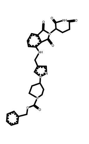 O=C1CCC(N2C(=O)c3cccc(NCc4cnn(C5CCN(C(=O)OCc6ccccc6)CC5)c4)c3C2=O)C(=O)N1